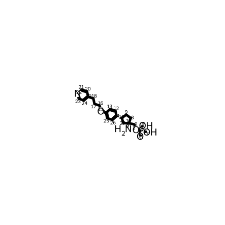 N[C@@]1(COP(=O)(O)O)CC[C@@H](c2ccc(OCCCc3ccncc3)cc2)C1